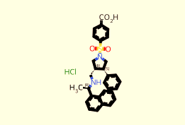 C[C@@H](NC[C@@H]1CN(S(=O)(=O)c2ccc(C(=O)O)cc2)C[C@@H]1c1ccccc1)c1cccc2ccccc12.Cl